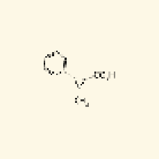 C[C@H]1[C@@H](C(=O)O)[C@H]1c1ccccc1